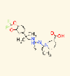 Cc1ccc(NCC(C)(C)c2ccc3c(c2)OC(F)(F)O3)nc1N1CCCC(C(=O)O)C1